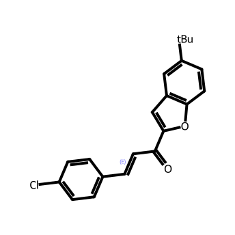 CC(C)(C)c1ccc2oc(C(=O)/C=C/c3ccc(Cl)cc3)cc2c1